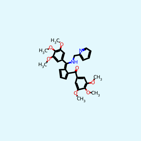 COc1cc(C(=O)C2=CC=CC2=C(NCc2ccccn2)c2cc(OC)c(OC)c(OC)c2)cc(OC)c1OC